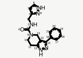 O=C(NCc1cc[nH]n1)N1CCc2[nH]nc(-c3ccccc3)c2C1